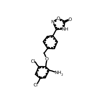 Nc1cc(Cl)cc(Cl)c1OCc1ccc(-c2noc(=O)[nH]2)cc1